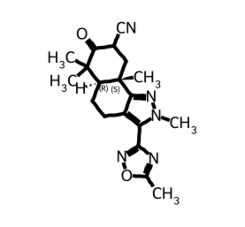 Cc1nc(-c2c3c(nn2C)[C@@]2(C)CC(C#N)C(=O)C(C)(C)[C@@H]2CC3)no1